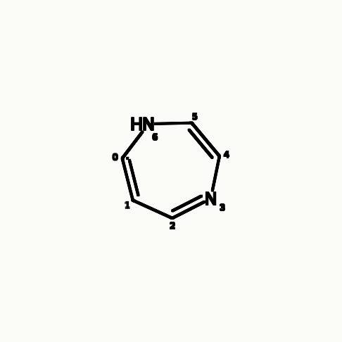 [C]1=CC=NC=CN1